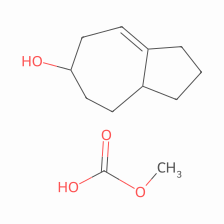 COC(=O)O.OC1CC=C2CCCC2CC1